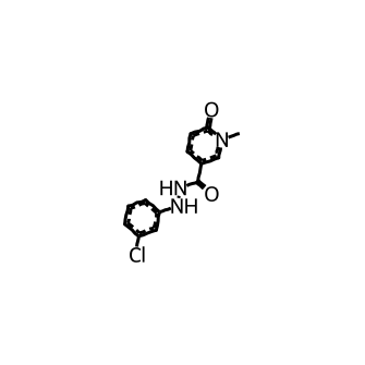 Cn1cc(C(=O)NNc2cccc(Cl)c2)ccc1=O